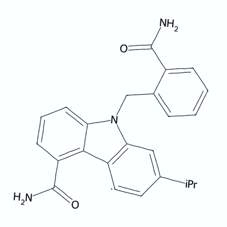 CC(C)c1c[c]c2c3c(C(N)=O)cccc3n(Cc3ccccc3C(N)=O)c2c1